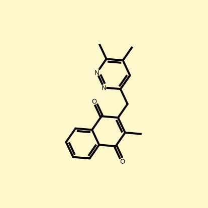 CC1=C(Cc2cc(C)c(C)nn2)C(=O)c2ccccc2C1=O